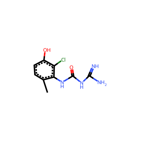 Cc1ccc(O)c(Cl)c1NC(=O)NC(=N)N